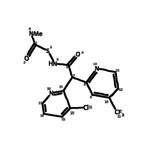 CNC(=O)SNC(=O)C(c1cc(C(F)(F)F)ccn1)c1ncccc1Cl